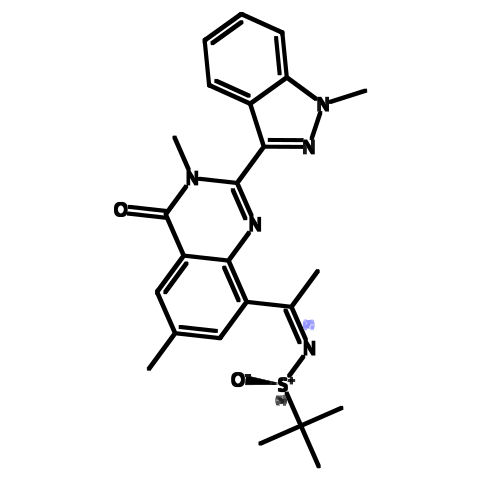 C/C(=N/[S@+]([O-])C(C)(C)C)c1cc(C)cc2c(=O)n(C)c(-c3nn(C)c4ccccc34)nc12